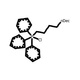 CCCCCCCCCCCCCCP(Cl)(c1ccccc1)(c1ccccc1)c1ccccc1